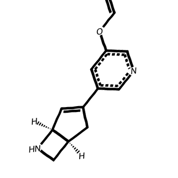 C=COc1cncc(C2=C[C@@H]3NC[C@@H]3C2)c1